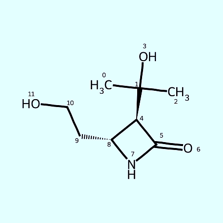 CC(C)(O)[C@H]1C(=O)N[C@@H]1CCO